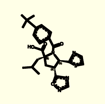 CC(C)C[C@@]1(C(=O)O)C[C@@H](c2ncno2)[C@H](c2nccs2)N1C(=O)c1ccc(C(C)(C)C)cc1